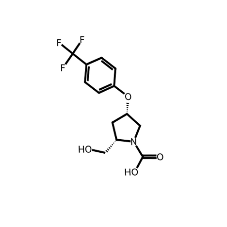 O=C(O)N1C[C@@H](Oc2ccc(C(F)(F)F)cc2)C[C@H]1CO